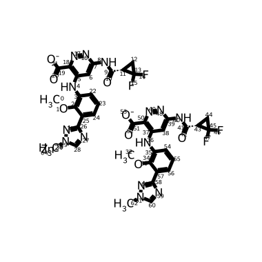 COc1c(Nc2cc(NC(=O)[C@@H]3CC3(F)F)nnc2C(=O)[O-])cccc1-c1ncn(C)n1.COc1c(Nc2cc(NC(=O)[C@@H]3CC3(F)F)nnc2C(=O)[O-])cccc1-c1ncn(C)n1.[Zn+2]